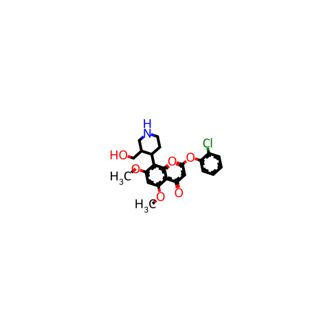 COc1cc(OC)c2c(=O)cc(Oc3ccccc3Cl)oc2c1C1CCNCC1CO